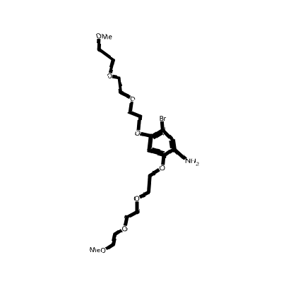 COCCOCCOCCOc1cc(OCCOCCOCCOC)c(Br)cc1N